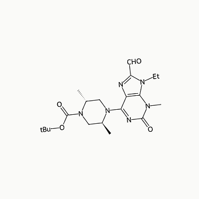 CCn1c(C=O)nc2c(N3C[C@@H](C)N(C(=O)OC(C)(C)C)C[C@@H]3C)nc(=O)n(C)c21